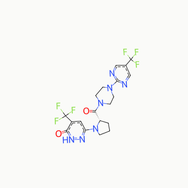 O=C([C@@H]1CCCN1c1cc(C(F)(F)F)c(=O)[nH]n1)N1CCN(c2ncc(C(F)(F)F)cn2)CC1